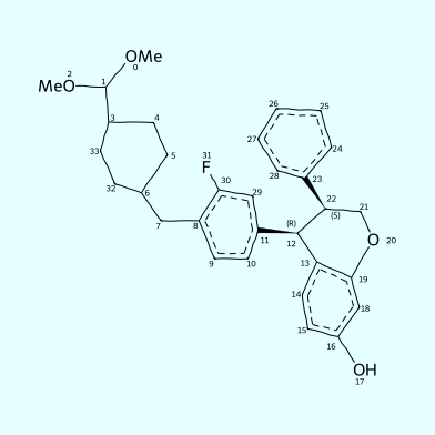 COC(OC)C1CCC(Cc2ccc([C@@H]3c4ccc(O)cc4OC[C@@H]3c3ccccc3)cc2F)CC1